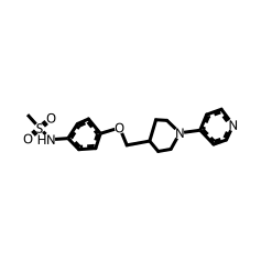 CS(=O)(=O)Nc1ccc(OCC2CCN(c3ccncc3)CC2)cc1